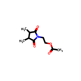 CC(=O)OCCN1C(=O)C(C)C(C)C1=O